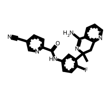 CC1(c2cc(NC(=O)c3ccc(C#N)cn3)ccc2F)Cc2ncccc2C(N)=N1